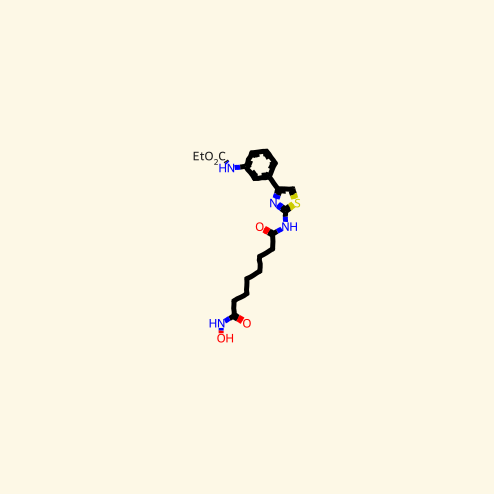 CCOC(=O)Nc1cccc(-c2csc(NC(=O)CCCCCCC(=O)NO)n2)c1